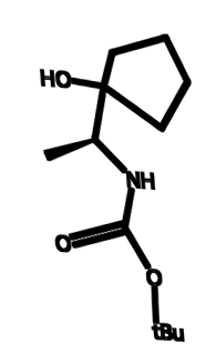 C[C@H](NC(=O)OC(C)(C)C)C1(O)CCCC1